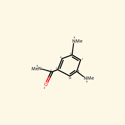 CNC(=O)c1cc(NC)cc(NC)c1